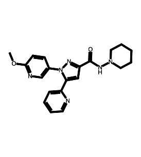 COc1ccc(-n2nc(C(=O)NN3CCCCC3)cc2-c2ccccn2)cn1